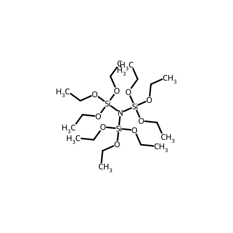 CCO[Si](OCC)(OCC)N([Si](OCC)(OCC)OCC)[Si](OCC)(OCC)OCC